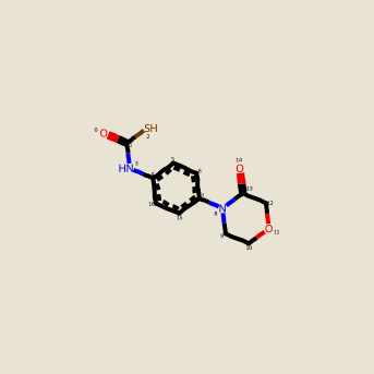 O=C(S)Nc1ccc(N2CCOCC2=O)cc1